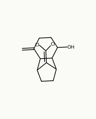 C=C1CCC(O)C2C3CCC(C3=C(Cl)Cl)C12